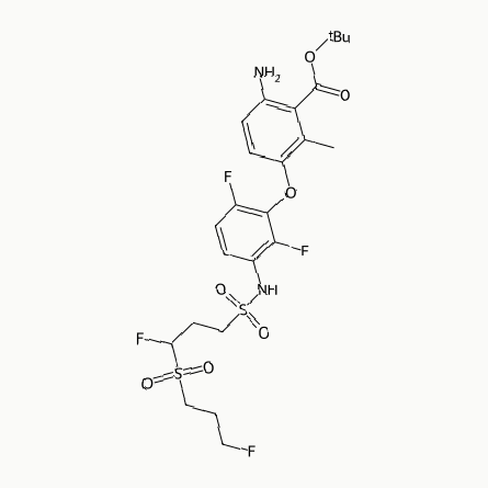 Cc1c(Oc2c(F)ccc(NS(=O)(=O)CCC(F)S(=O)(=O)CCCF)c2F)ccc(N)c1C(=O)OC(C)(C)C